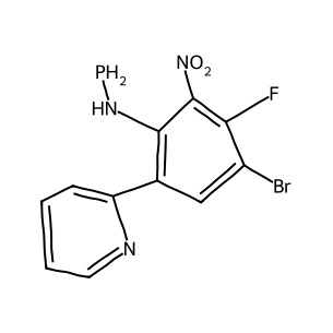 O=[N+]([O-])c1c(F)c(Br)cc(-c2ccccn2)c1NP